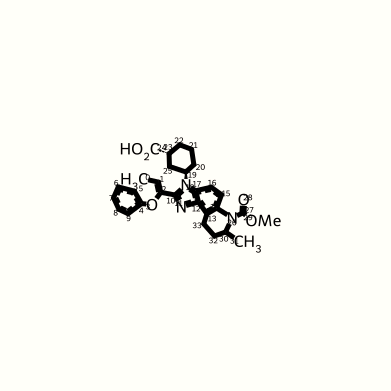 C/C=C(\Oc1ccccc1)c1nc2c3c(ccc2n1[C@@H]1CCC[C@@H](C(=O)O)C1)N(C(=O)OC)C(C)CC3